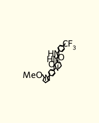 COCC1CCCN1c1ccc(N2CCC[C@@H](NC(=O)Nc3ccc(C(F)(F)F)cc3)C2=O)cc1